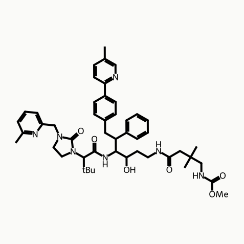 COC(=O)NCC(C)(C)CC(=O)NCCC(O)C(NC(=O)C(N1CCN(Cc2cccc(C)n2)C1=O)C(C)(C)C)C(Cc1ccc(-c2ccc(C)cn2)cc1)c1ccccc1